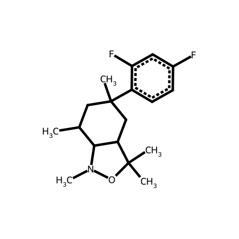 CC1CC(C)(c2ccc(F)cc2F)CC2C1N(C)OC2(C)C